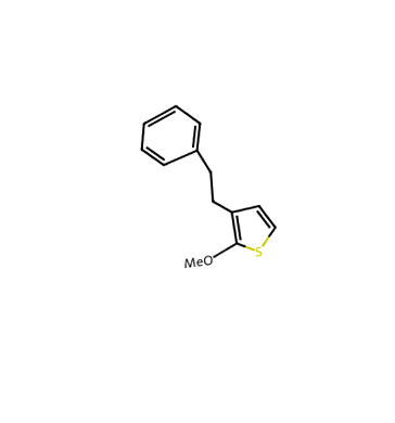 COc1sccc1CCc1ccccc1